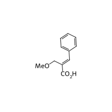 COCC(=Cc1ccccc1)C(=O)O